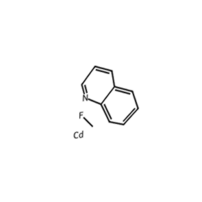 CF.[Cd].c1ccc2ncccc2c1